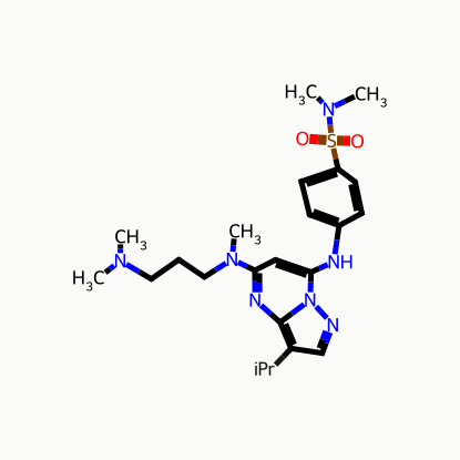 CC(C)c1cnn2c(Nc3ccc(S(=O)(=O)N(C)C)cc3)cc(N(C)CCCN(C)C)nc12